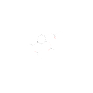 C=Cc1ccc(OC(C)=O)c(OC(C)=O)c1OC(C)=O